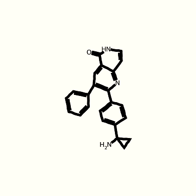 NC1(c2ccc(-c3nc4cc[nH]c(=O)c4cc3-c3ccccc3)cc2)CC1